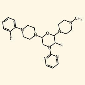 CN1CCN(C2OC(N3CCN(c4ccccc4Cl)CC3)CN(c3ncccn3)C2F)CC1